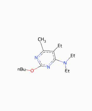 CCCCOc1nc(C)c(CC)c(N(CC)CC)n1